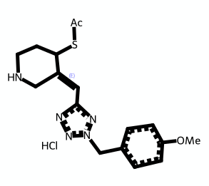 COc1ccc(Cn2nnc(/C=C3\CNCCC3SC(C)=O)n2)cc1.Cl